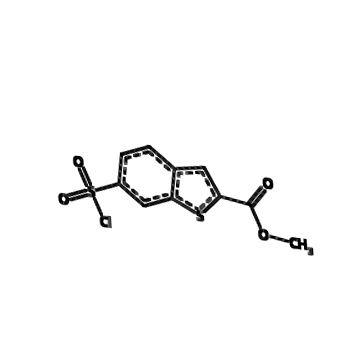 COC(=O)c1cc2ccc(S(=O)(=O)Cl)cc2s1